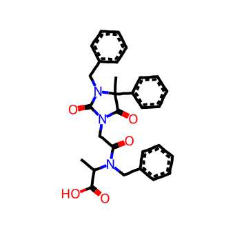 CC(C(=O)O)N(Cc1ccccc1)C(=O)CN1C(=O)N(Cc2ccccc2)C(C)(c2ccccc2)C1=O